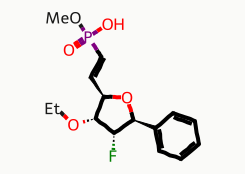 CCO[C@H]1[C@@H](F)[C@H](c2ccccc2)O[C@@H]1/C=C/P(=O)(O)OC